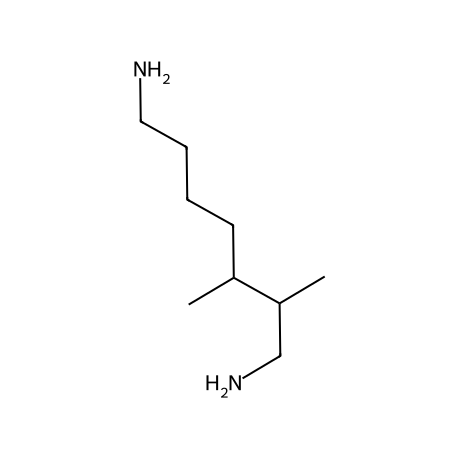 CC(CN)C(C)CCCCN